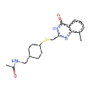 CC(=O)NCC1CCC(SCc2nc3c(C)cccc3c(=O)[nH]2)CC1